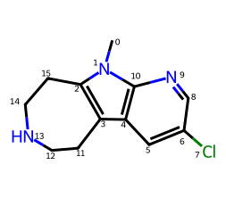 Cn1c2c(c3cc(Cl)cnc31)CCNCC2